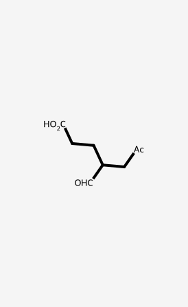 CC(=O)CC(C=O)CCC(=O)O